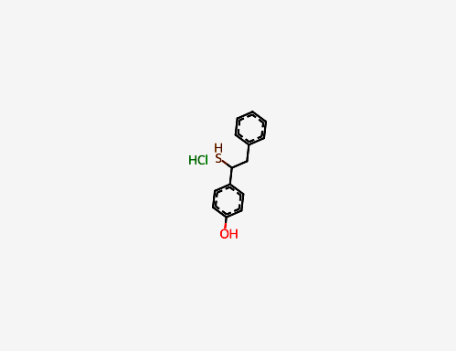 Cl.Oc1ccc(C(S)Cc2ccccc2)cc1